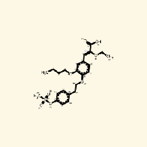 CCCCOc1cc(/C=C(\OCC)C(=O)O)ccc1OCCc1ccc(OS(C)(=O)=O)cc1